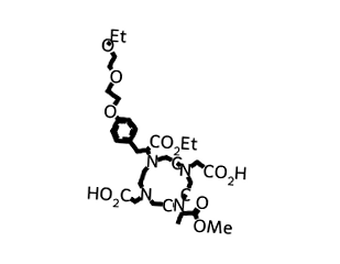 CCOCCOCCOc1ccc(CC(C(=O)OCC)N2CCN(CC(=O)O)CCN(C(C)C(=O)OC)CCN(CC(=O)O)CC2)cc1